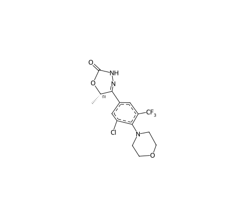 C[C@@H]1OC(=O)NN=C1c1cc(Cl)c(N2CCOCC2)c(C(F)(F)F)c1